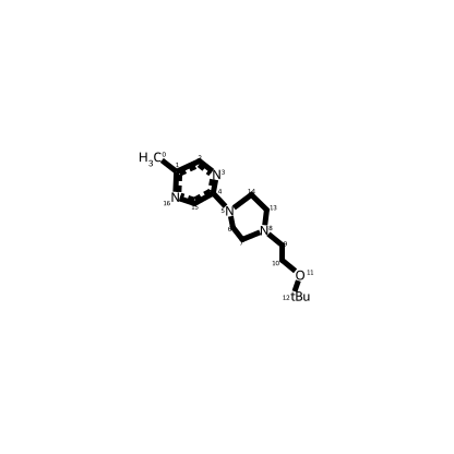 Cc1cnc(N2CCN(CCOC(C)(C)C)CC2)cn1